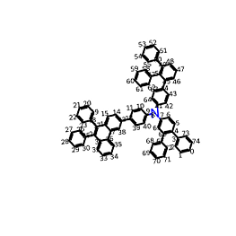 c1ccc(-c2ccc(N(c3ccc(-c4ccc5c(-c6ccccc6)c(-c6ccccc6)c6ccccc6c5c4)cc3)c3ccc(-c4cccc(-c5ccccc5)c4-c4ccccc4)cc3)cc2-c2ccccc2)cc1